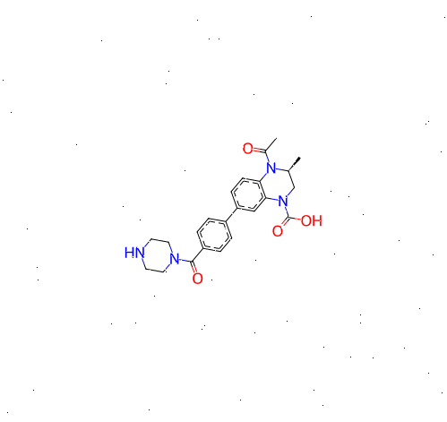 CC(=O)N1c2ccc(-c3ccc(C(=O)N4CCNCC4)cc3)cc2N(C(=O)O)C[C@@H]1C